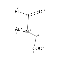 CCC(=O)NCC(=O)[O-].[Au+]